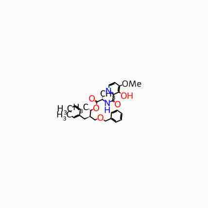 C/C=C\C(=C/C)C[C@H](COCc1ccccc1)[C@H](C)OC(=O)[C@H](C)NC(=O)c1nccc(OC)c1O